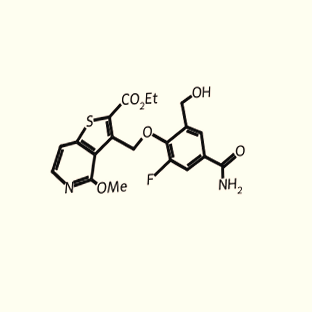 CCOC(=O)c1sc2ccnc(OC)c2c1COc1c(F)cc(C(N)=O)cc1CO